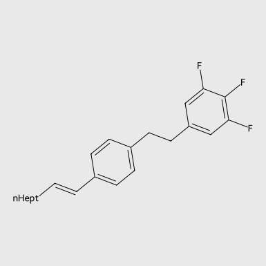 CCCCCCCC=Cc1ccc(CCc2cc(F)c(F)c(F)c2)cc1